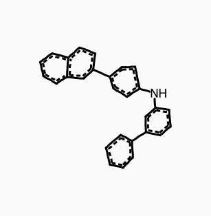 c1ccc(-c2cccc(Nc3ccc(-c4ccc5ccccc5c4)cc3)c2)cc1